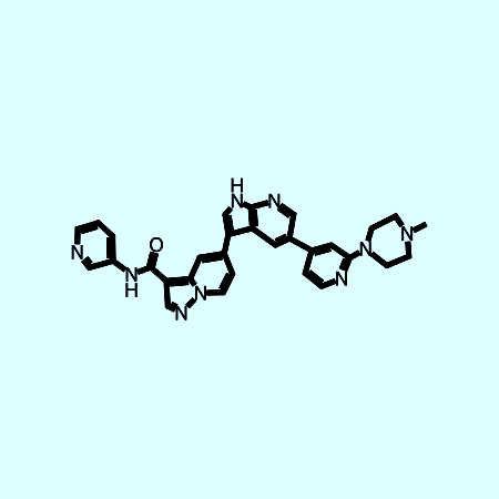 CN1CCN(c2cc(-c3cnc4[nH]cc(-c5ccn6ncc(C(=O)Nc7cccnc7)c6c5)c4c3)ccn2)CC1